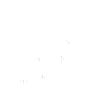 Cc1cnc(CNC2=NC(=O)CS2)cn1